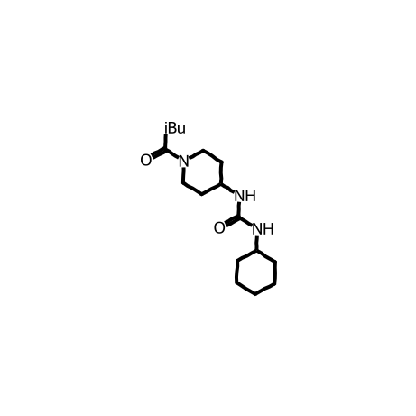 CCC(C)C(=O)N1CCC(NC(=O)NC2CCCCC2)CC1